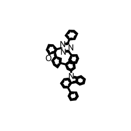 c1ccc(-c2nc(-c3ccccc3)nc(-c3cccc4oc5ccc(-c6cccc(-n7c8ccccc8c8c(-c9ccccc9)cccc87)c6)cc5c34)n2)cc1